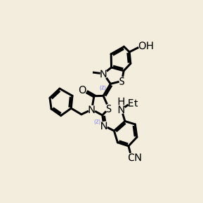 CCNc1ccc(C#N)cc1/N=C1\S/C(=C2\Sc3cc(O)ccc3N2C)C(=O)N1Cc1ccccc1